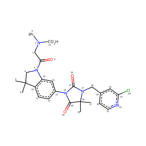 CC(C)N(CC(=O)N1CC(C)(C)c2ccc(N3C(=O)N(Cc4ccnc(Cl)c4)C(C)(C)C3=O)cc21)C(=O)O